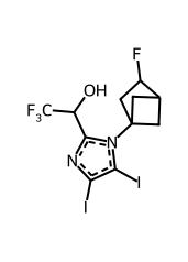 OC(c1nc(I)c(I)n1C12CC(F)C(C1)C2)C(F)(F)F